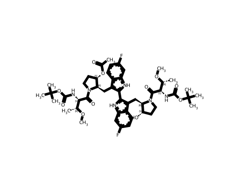 CO[C@H](C)[C@H](NC(=O)OC(C)(C)C)C(=O)N1CC[C@H](OC(C)=O)[C@H]1Cc1c(-c2[nH]c3cc(F)ccc3c2C[C@@H]2[C@@H](O)CCN2C(=O)[C@@H](NC(=O)OC(C)(C)C)[C@@H](C)OC)[nH]c2cc(F)ccc12